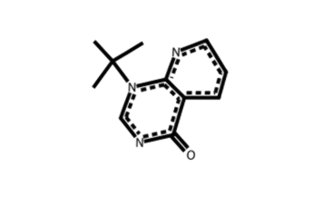 CC(C)(C)n1cnc(=O)c2cccnc21